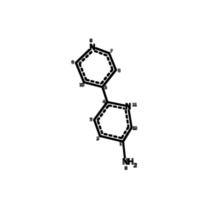 Nc1ccc(-c2ccncc2)nc1